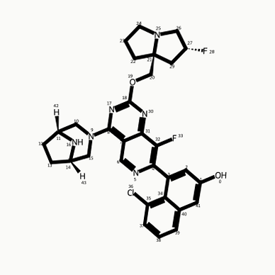 Oc1cc(-c2ncc3c(N4C[C@H]5CC[C@@H](C4)N5)nc(OC[C@@]45CCCN4C[C@H](F)C5)nc3c2F)c2c(Cl)cccc2c1